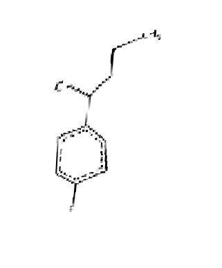 CCCC(Cl)c1ccc(F)cc1